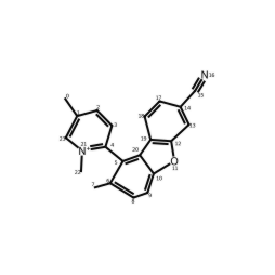 Cc1ccc(-c2c(C)ccc3oc4cc(C#N)ccc4c23)[n+](C)c1